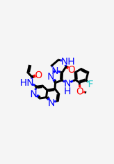 C=CC(=O)Nc1cc2c(-c3nn4c(c3Nc3cccc(F)c3OC)C(=O)NCC4)ccnc2cn1